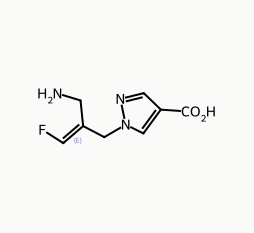 NC/C(=C\F)Cn1cc(C(=O)O)cn1